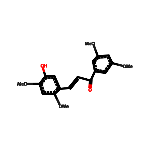 COc1cc(OC)cc(C(=O)C=Cc2cc(O)c(OC)cc2OC)c1